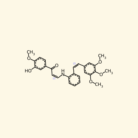 COc1ccc(C(=O)/C=C\Nc2ccccc2/C=C\c2cc(OC)c(OC)c(OC)c2)cc1O